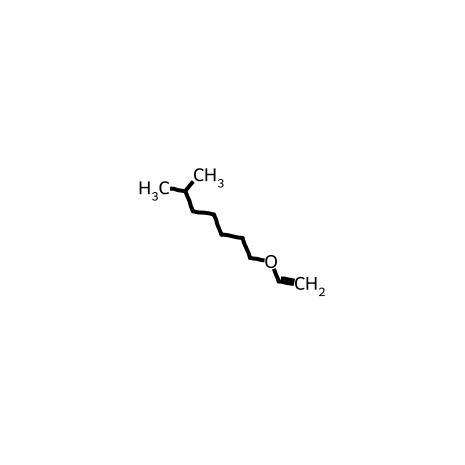 C=COCCCCCC(C)C